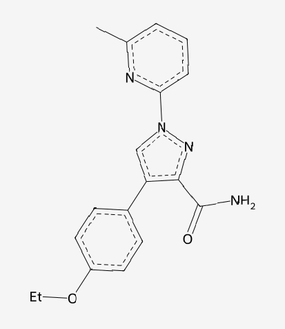 CCOc1ccc(-c2cn(-c3cccc(C)n3)nc2C(N)=O)cc1